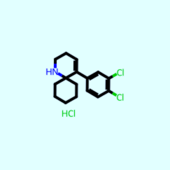 Cl.Clc1ccc(C2=CCCNC23CCCCC3)cc1Cl